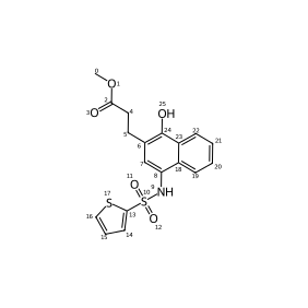 COC(=O)CCc1cc(NS(=O)(=O)c2cccs2)c2ccccc2c1O